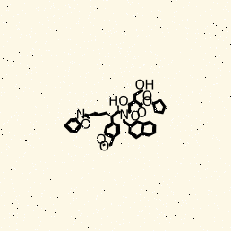 C[C@H]([C@H](C/C=C/c1nc2ccccc2o1)c1ccc2c(c1)OOC2)N(Cc1ccc2ccccc2c1)C(=O)/C(O)=C(/CC(=O)O)C(=O)OC1CCCC1